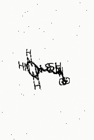 O=C1C=CC(=O)N1CCCn1cc(CCCC(CCN2CCCNCCNCCCNCC2)SS)nn1